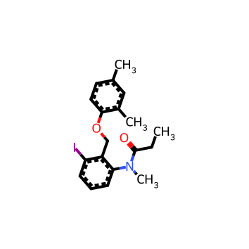 CCC(=O)N(C)c1cccc(I)c1COc1ccc(C)cc1C